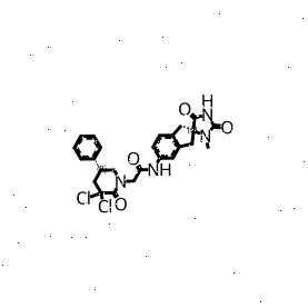 CN1C(=O)NC(=O)[C@@]12Cc1ccc(NC(=O)CN3C[C@@H](c4ccccc4)CC(Cl)(Cl)C3=O)cc1C2